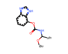 CCCC(NC(=O)Oc1cccc2nc[nH]c12)OC(C)CC